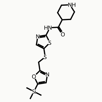 C[Si](C)(C)c1cnc(CSc2cnc(NC(=O)C3CCNCC3)s2)o1